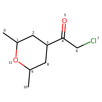 CC1CC(C(=O)CCl)CC(C)O1